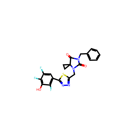 O=C1N(Cc2ccccc2)C(=O)C2(CC2)N1Cc1nnc(-c2cc(F)c(F)c(O)c2F)s1